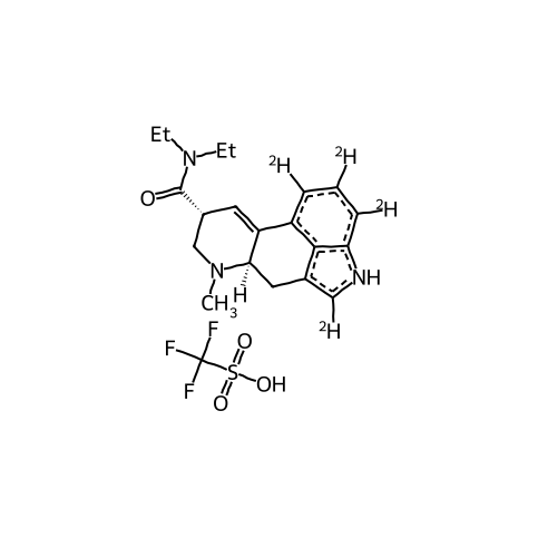 O=S(=O)(O)C(F)(F)F.[2H]c1[nH]c2c([2H])c([2H])c([2H])c3c2c1C[C@@H]1C3=C[C@@H](C(=O)N(CC)CC)CN1C